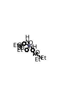 CCOP(=O)(OCC)c1ccc2c(c1)/C(=C(/Nc1ccc(N(C)C(=O)CCN(CC)CC)cc1)c1ccccc1)C(=O)N2